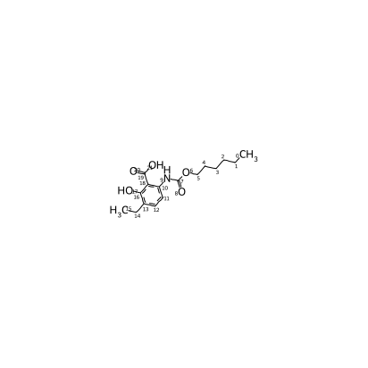 CCCCCCOC(=O)Nc1ccc(CC)c(O)c1C(=O)O